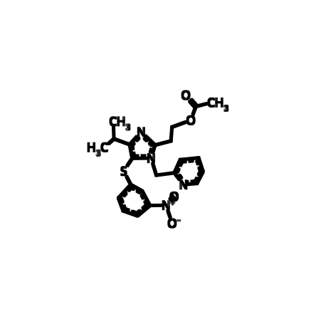 CC(=O)OCCc1nc(C(C)C)c(Sc2cccc([N+](=O)[O-])c2)n1Cc1ccccn1